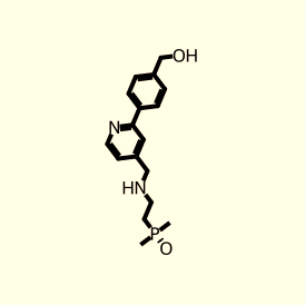 CP(C)(=O)CCNCc1ccnc(-c2ccc(CO)cc2)c1